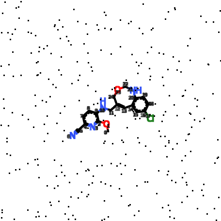 COc1nc(C#N)ccc1NC/C1=C/c2cc(Cl)ccc2NCOC1